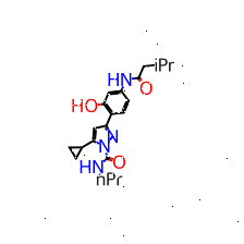 CCCNC(=O)n1nc(-c2ccc(NC(=O)CC(C)C)cc2O)cc1C1CC1